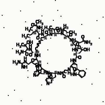 CC[C@H](C)[C@H](NC(C)=O)C(=O)N[C@H]1CSSC[C@@H](C(=O)N[C@H](C(N)=O)[C@@H](C)O)NC(=O)[C@H](CCCNC(=N)N)NC(=O)[C@@H](Cc2cnc[nH]2)NC(=O)[C@H](Cc2cnc[nH]2)NC(=O)CNC(=O)[C@H](Cc2c[nH]c3ccccc23)NC(=O)[C@@H](CC(=O)O)NC(=O)[C@H](CCC(N)=O)NC(=O)[C@@H](C(C)C)NC(=O)[C@H](C(C)C)NC1=O